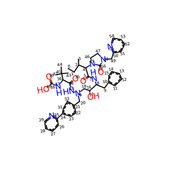 CCC(C)C(C(=O)NC(Cc1ccccc1)C(O)CN(Cc1ccc(-c2ccccn2)cc1)NC(=O)C(NC(=O)O)C(C)(C)C)N1CCN(Cc2ccccn2)C1=O